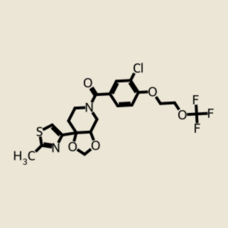 Cc1nc(C23CCN(C(=O)c4ccc(OCCOC(F)(F)F)c(Cl)c4)CC2OCO3)cs1